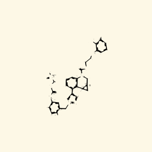 Cc1c(Cl)cccc1OCCOC(=O)N1C[C@@H]2C[C@@H]2c2c(-c3cnn(Cc4cc(NC(=O)NCS(=O)(=O)O)ccc4Cl)c3)cccc21